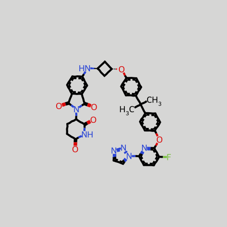 CC(C)(c1ccc(Oc2nc(-n3ccnn3)ccc2F)cc1)c1ccc(O[C@H]2C[C@H](Nc3ccc4c(c3)C(=O)N(C3CCC(=O)NC3=O)C4=O)C2)cc1